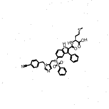 CSCC[C@H](NC(=O)c1[nH]c2ccc(N(Cc3cncn3Cc3ccc(C#N)cc3)S(=O)(=O)c3ccccc3)cc2c1-c1ccccc1)C(=O)O